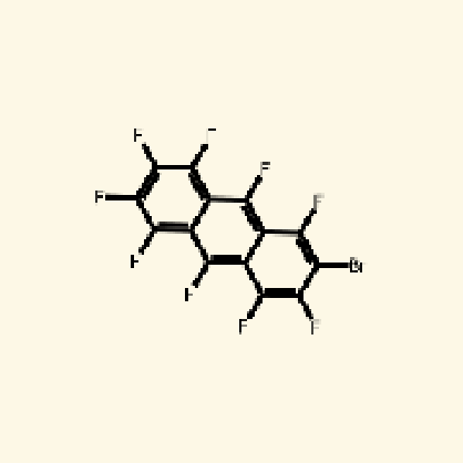 Fc1c(F)c(F)c2c(F)c3c(F)c(Br)c(F)c(F)c3c(F)c2c1F